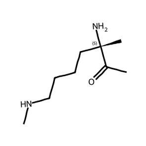 CNCCCC[C@](C)(N)C(C)=O